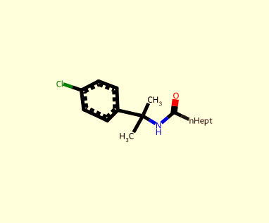 CCCCCCCC(=O)NC(C)(C)c1ccc(Cl)cc1